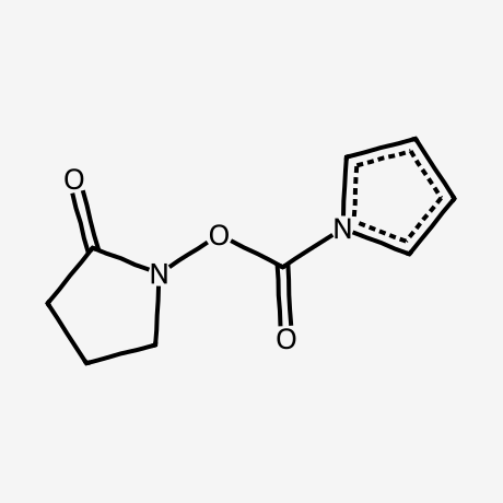 O=C1CCCN1OC(=O)n1cccc1